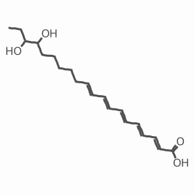 CCC(O)C(O)CCCCC/C=C/C=C/C=C/C=C/C=C/C(=O)O